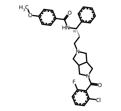 COc1ccc(C(=O)N[C@@H](CCN2CC3CN(C(=O)c4c(F)cccc4Cl)CC3C2)c2ccccc2)cc1